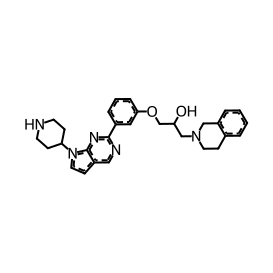 OC(COc1cccc(-c2ncc3ccn(C4CCNCC4)c3n2)c1)CN1CCc2ccccc2C1